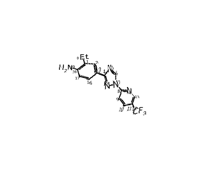 CCc1cc(-c2ncn(-c3ccc(C(F)(F)F)cn3)n2)ccc1N